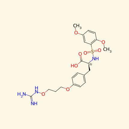 COc1ccc(OC)c(S(=O)(=O)N[C@@H](Cc2ccc(OCCCONC(=N)N)cc2)C(=O)O)c1